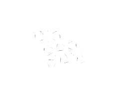 CC1(C)c2ccccc2N(c2cccc([Si](c3ccccc3)(c3ccccc3)c3cccc(N4c5ccccc5C(C)(C)c5ccccc54)c3)c2)c2ccccc21